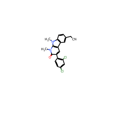 Cn1c(=O)c(-c2ccc(Cl)cc2Cl)cc2c3cc(CC#N)ccc3n(C)c21